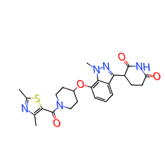 Cc1nc(C)c(C(=O)N2CCC(Oc3cccc4c(C5CCC(=O)NC5=O)nn(C)c34)CC2)s1